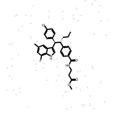 CCC[C@H](c1ccc(C(=O)NCCC(=O)OC)cc1)[C@H](c1ccc(Cl)cc1)c1c[nH]c2c(F)cc(C)cc12